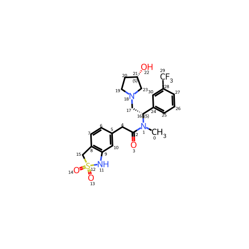 CN(C(=O)Cc1ccc2c(c1)NS(=O)(=O)C2)[C@H](CN1CC[C@H](O)C1)c1cccc(C(F)(F)F)c1